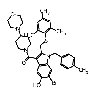 Cc1ccc(Cn2c(CSc3c(C)cc(C)cc3C)c(C(=O)N3CCC(N4CCOCC4)CC3)c3cc(O)c(Br)cc32)cc1